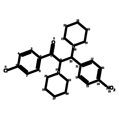 O=C(c1ccc(Cl)cc1)C(C(c1ccc([N+](=O)[O-])cc1)N1CCCCC1)N1CCCCC1